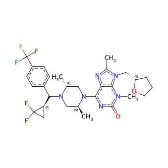 Cc1nc2c(N3C[C@@H](C)N(C(c4ccc(C(F)(F)F)cc4)[C@H]4CC4(F)F)C[C@@H]3C)nc(=O)n(C)c2n1C[C@@H]1CCCO1